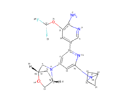 Nc1ncc(-c2cc(N3C[C@@H]4C[C@H]3CO4)cc(N3CC4CC3C4)n2)cc1OC(F)F